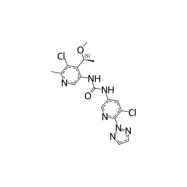 CO[C@@H](C)c1c(NC(=O)Nc2cnc(-n3nccn3)c(Cl)c2)cnc(C)c1Cl